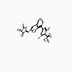 COC(=O)c1c(F)cc(-c2cncc3cc(/C=C4\SC(=S)NC4=O)oc23)cc1F